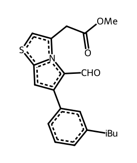 CCC(C)c1cccc(-c2cc3scc(CC(=O)OC)n3c2C=O)c1